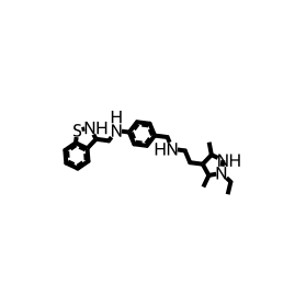 CCN1NC(C)C(CCNCc2ccc(NCC3NSc4ccccc43)cc2)C1C